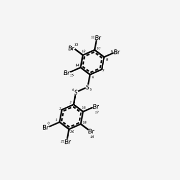 Brc1cc(SSc2cc(Br)c(Br)c(Br)c2Br)c(Br)c(Br)c1Br